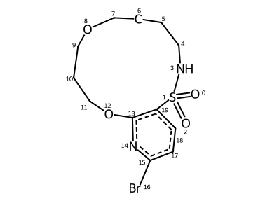 O=S1(=O)NCCCCOCCCOc2nc(Br)ccc21